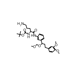 COCOC(CCc1ccc(OC)c(OC)c1)c1cccc(NC(=O)C(CCCN)NC(=O)OC(C)(C)C)c1